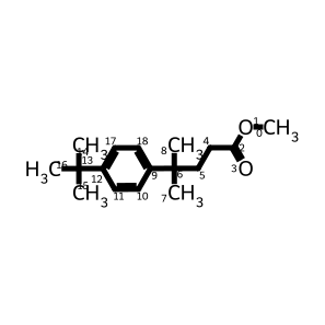 COC(=O)CCC(C)(C)c1ccc(C(C)(C)C)cc1